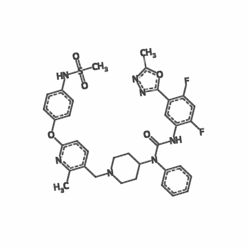 Cc1nnc(-c2cc(NC(=O)N(c3ccccc3)C3CCN(Cc4ccc(Oc5ccc(NS(C)(=O)=O)cc5)nc4C)CC3)c(F)cc2F)o1